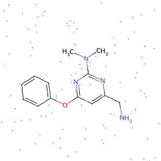 CN(C)c1nc(CN)cc(Oc2cc[c]cc2)n1